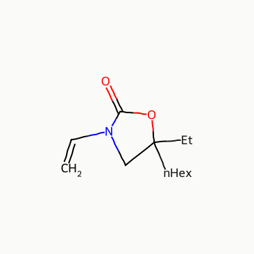 C=CN1CC(CC)(CCCCCC)OC1=O